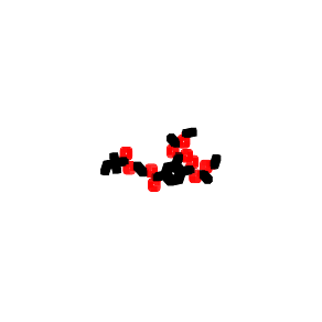 CCOC(C)OC(=O)c1ccc(C(=O)OCCOC(=O)C(C)(C)CC)cc1C(=O)OC(C)OCC